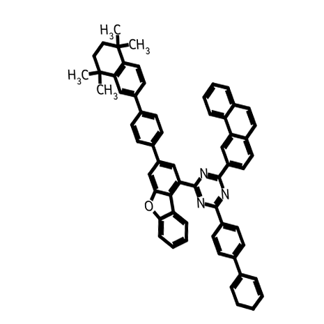 CC1(C)CCC(C)(C)c2cc(-c3ccc(-c4cc(-c5nc(-c6ccc(C7=CCCC=C7)cc6)nc(-c6ccc7ccc8ccccc8c7c6)n5)c5c(c4)oc4ccccc45)cc3)ccc21